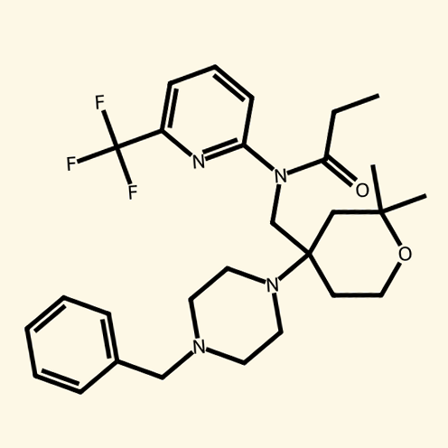 CCC(=O)N(CC1(N2CCN(Cc3ccccc3)CC2)CCOC(C)(C)C1)c1cccc(C(F)(F)F)n1